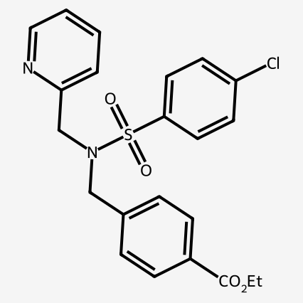 CCOC(=O)c1ccc(CN(Cc2ccccn2)S(=O)(=O)c2ccc(Cl)cc2)cc1